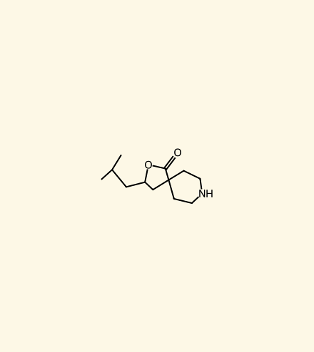 CC(C)CC1CC2(CCNCC2)C(=O)O1